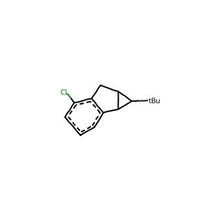 CC(C)(C)C1C2Cc3c(Cl)cccc3C21